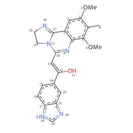 COc1cc2c(c(OC)c1C)N=C(/C=C(\O)c1ccc3[nH]cnc3c1)N1CCN=C21